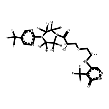 [2H]C1([2H])N(C(=O)[C@@H](O)COC[C@H](C)Nc2cn[nH]c(=O)c2C(F)(F)F)C([2H])([2H])C([2H])([2H])N(c2ncc(C(F)(F)F)cn2)C1([2H])[2H]